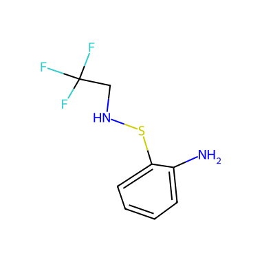 Nc1ccccc1SNCC(F)(F)F